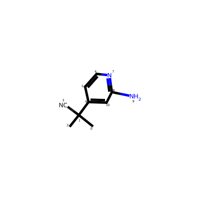 CC(C)(C#N)c1ccnc(N)c1